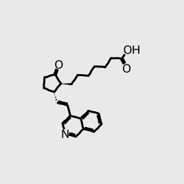 O=C(O)CCCCCC[C@@H]1C(=O)CC[C@H]1C=Cc1cncc2ccccc12